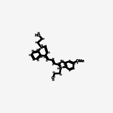 COc1ccc2c(c1)sc(/C=C/C=C1\C=CN(CCO)c3ccccc31)[n+]2CC[O-]